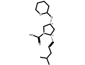 CC(C)CC=C[C@H]1C[C@@H](OC2CCCCO2)CN1C(=O)O